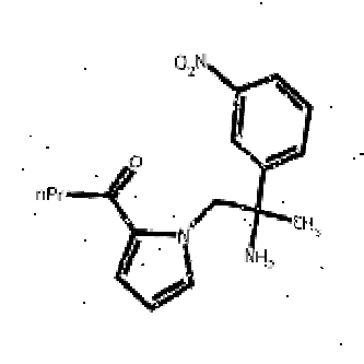 CCCC(=O)c1cccn1CC(C)(N)c1cccc([N+](=O)[O-])c1